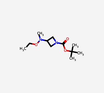 CCON(C)C1CN(C(=O)OC(C)(C)C)C1